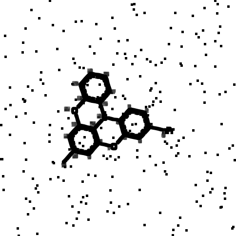 CCCc1ccc2c(c1)Oc1cc(C)cc3c1B2c1ccccc1O3